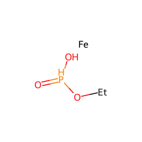 CCO[PH](=O)O.[Fe]